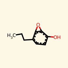 CCCc1ccc(O)c2c1O2